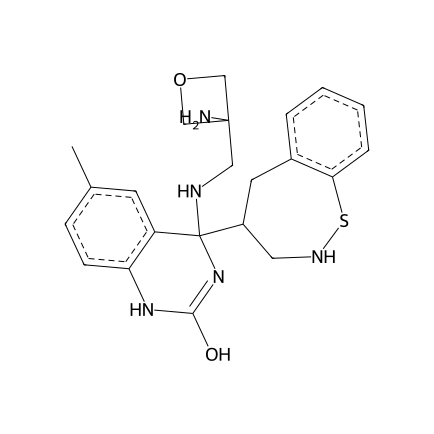 Cc1ccc2c(c1)C(NCC1(N)COC1)(C1CNSc3ccccc3C1)N=C(O)N2